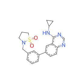 O=S1(=O)CCCN1Cc1cccc(-c2ccc3ncnc(NC4CC4)c3c2)c1